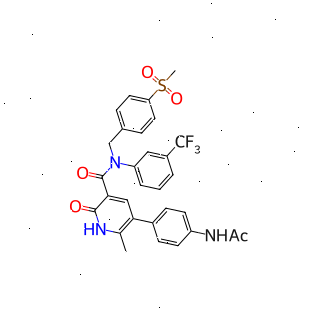 CC(=O)Nc1ccc(-c2cc(C(=O)N(Cc3ccc(S(C)(=O)=O)cc3)c3cccc(C(F)(F)F)c3)c(=O)[nH]c2C)cc1